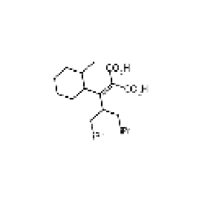 CC(C)CC(CC(C)C)C(=C(C(=O)O)C(=O)O)C1CCCCC1C